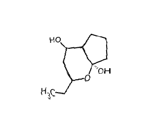 CCC1CC(O)C2CCC[C@@]2(O)O1